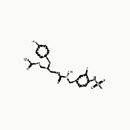 CC(C)(C)C(=O)OCC(CNC(=S)N(O)Cc1ccc(NS(C)(=O)=O)c(F)c1)Cc1ccc(C(C)(C)C)cc1